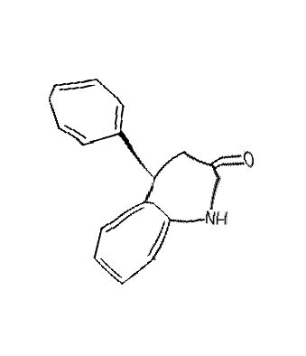 O=C1C[C@H](c2ccccc2)c2ccccc2N1